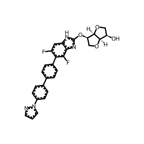 O[C@@H]1CO[C@H]2[C@@H]1OC[C@H]2Oc1nc2c(F)c(-c3ccc(-c4ccc(-n5cccn5)cc4)cc3)c(F)cc2[nH]1